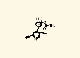 C[C@]1(OC(N)=O)CCN(c2cc(C#N)ncc2C=O)C1